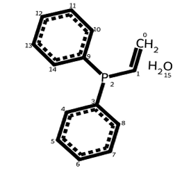 C=CP(c1ccccc1)c1ccccc1.O